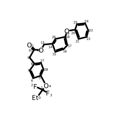 CCC(F)(F)Oc1ccc(CC(=O)OCc2cccc(Oc3ccccc3)c2)cc1